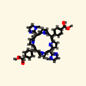 COC(=O)c1ccc(C2=C3C=CC(=N3)C(c3nccn3C)=C3C=CC(=N3)C(c3ccc(C(=O)OC)cc3)=C3C=CC(=N3)C(c3nccn3C)=C3C=CC2=N3)cc1